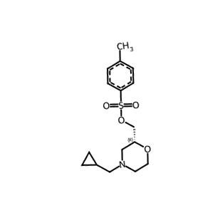 Cc1ccc(S(=O)(=O)OC[C@H]2CN(CC3CC3)CCO2)cc1